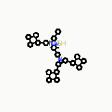 CC1C(c2ccc(-n3c4ccc(-c5ccc6c(c5)C5=CC=CCC5c5ccccc5-c5ccccc5-6)cc4c4cc(-c5ccc6c(c5)C5C=CC=CC5c5ccccc5-c5ccccc5-6)ccc43)cc2)=CC=C(N(c2ccc(-c3ccccc3)cc2)C2C=CC(c3ccc4c(c3)C3=CC=CCC3c3ccccc3-c3ccccc3-4)=CC2)/C1=N/S